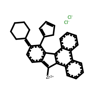 [Cl-].[Cl-].[Zr+2][C]1=c2ccc(=C3CCCCC3)c(C3=CC=CC3)c2-c2c1c1ccccc1c1ccccc21